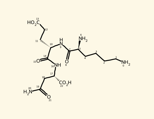 NCCCC[C@H](N)C(=O)N[C@@H](CCC(=O)O)C(=O)N[C@@H](CC(N)=O)C(=O)O